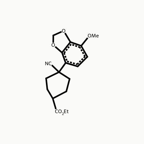 CCOC(=O)C1CCC(C#N)(c2ccc(OC)c3c2OCO3)CC1